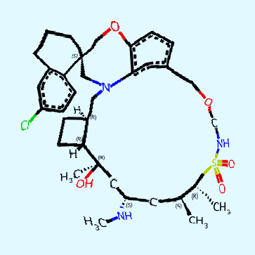 CN[C@H]1C[C@H](C)[C@@H](C)S(=O)(=O)NCOCc2ccc3c(c2)N(C[C@@H]2CC[C@H]2[C@](C)(O)C1)C[C@@]1(CCCc2cc(Cl)ccc21)CO3